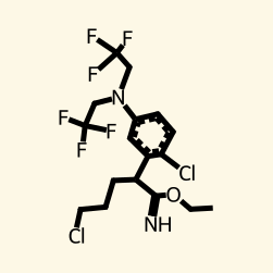 CCOC(=N)C(CCCCl)c1cc(N(CC(F)(F)F)CC(F)(F)F)ccc1Cl